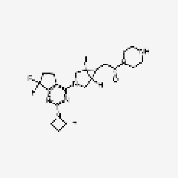 C[C@H]1CCN1c1nc(N2C[C@@H]3C(CC(=O)N4CCNCC4)[C@@H]3C2)c2c(n1)C(F)(F)CC2